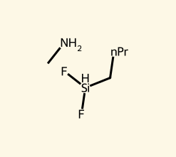 CCCC[SiH](F)F.CN